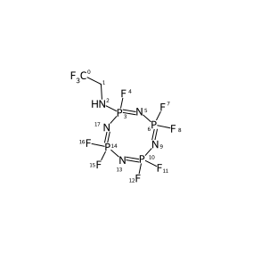 FC(F)(F)CNP1(F)=NP(F)(F)=NP(F)(F)=NP(F)(F)=N1